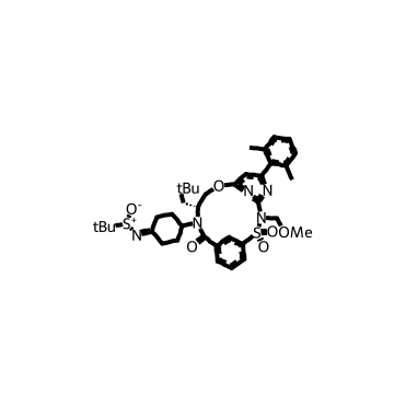 COCN1c2nc(cc(-c3c(C)cccc3C)n2)OC[C@@H](CC(C)(C)C)N(C2CCC(=N[S+]([O-])C(C)(C)C)CC2)C(=O)c2cccc(c2)S1(=O)=O